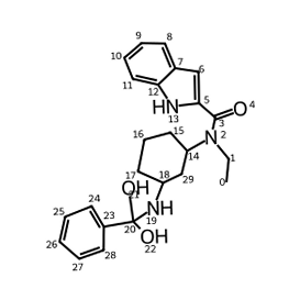 CCN(C(=O)c1cc2ccccc2[nH]1)C1CCCC(NC(O)(O)c2ccccc2)C1